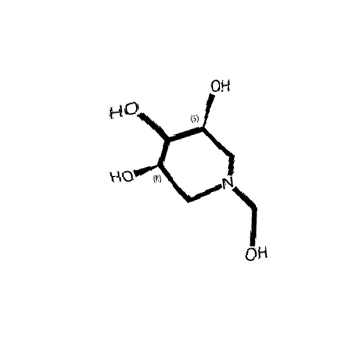 OCN1C[C@@H](O)C(O)[C@@H](O)C1